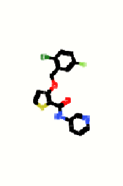 O=C(Nc1cccnc1)c1sccc1OCc1cc(F)ccc1Cl